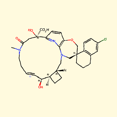 CN1CC/C=C/[C@H](O)[C@@H]2CC[C@H]2CN2C[C@@]3(CCCc4cc(Cl)ccc43)COc3ccc(nc32)[C@@](O)(C(=O)O)CC1=O